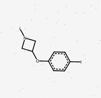 Ic1ccc(OC2CN(I)C2)cc1